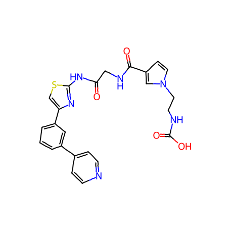 O=C(O)NCCn1ccc(C(=O)NCC(=O)Nc2nc(-c3cccc(-c4ccncc4)c3)cs2)c1